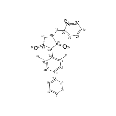 Cc1cc(-c2ccccc2)cc(C)c1C1C(=O)CC(Cc2ccccn2)C1=O